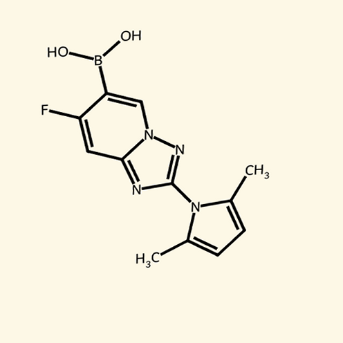 Cc1ccc(C)n1-c1nc2cc(F)c(B(O)O)cn2n1